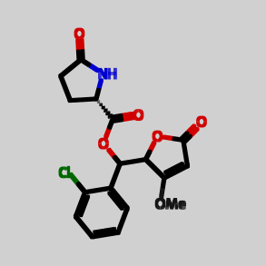 COC1=CC(=O)OC1C(OC(=O)[C@@H]1CCC(=O)N1)c1ccccc1Cl